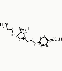 BCCC[C@H]1CN(CCCc2ccc(C(=O)O)cc2)C[C@H]1C(=O)O